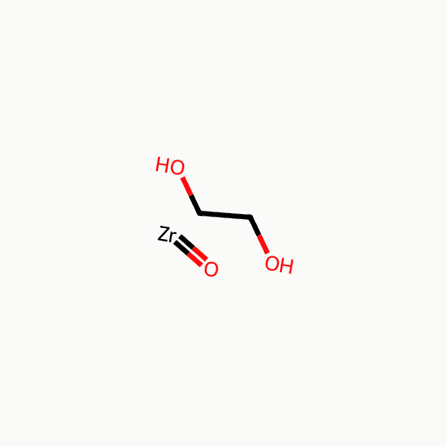 OCCO.[O]=[Zr]